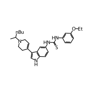 CCCCC(C)N1CC=C(c2c[nH]c3ccc(NC(=S)Nc4cccc(OCC)c4)cc23)CC1